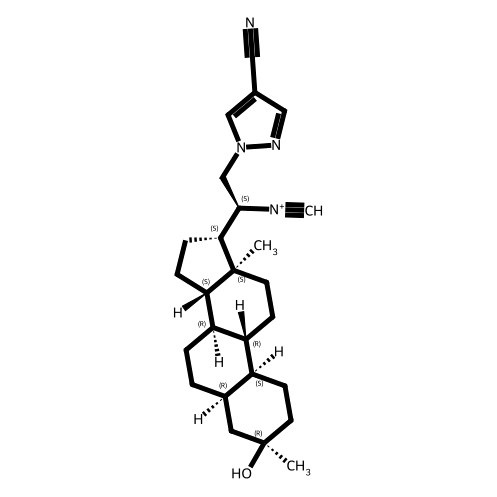 C#[N+][C@H](Cn1cc(C#N)cn1)[C@H]1CC[C@H]2[C@@H]3CC[C@@H]4C[C@](C)(O)CC[C@@H]4[C@H]3CC[C@]12C